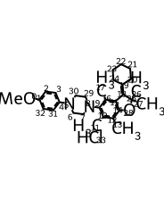 COc1ccc(N2CCN(c3c(C)c(C)c4c(c3C)C(=C3CCCCC3)C(C)(C)O4)CC2)cc1.Cl